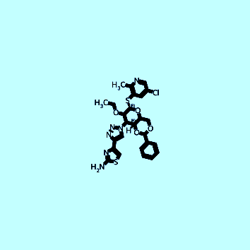 CCOC1C(n2cc(-c3csc(N)n3)nn2)[C@H]2OC(c3ccccc3)OCC2O[C@@H]1Sc1cc(Cl)cnc1C